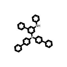 c1ccc(Nc2cc(-c3ccccc3)cc(N(c3ccc(-c4ccccc4)cc3)c3ccc(-c4ccccc4)cc3)c2)cc1